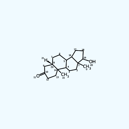 CC12CCC3C(CC[C@H]4CC(=O)CCC34C)C1CCC2O